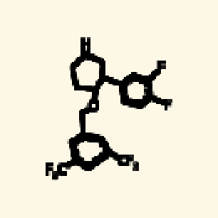 Fc1ccc(C2CNCCC2OCc2cc(C(F)(F)F)cc(C(F)(F)F)c2)cc1F